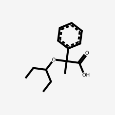 CCC(CC)OC(C)(C(=O)O)c1ccccc1